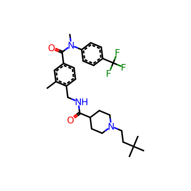 Cc1cc(C(=O)N(C)c2ccc(C(F)(F)F)cc2)ccc1CNC(=O)C1CCN(CCC(C)(C)C)CC1